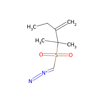 C=C(CC)C(C)(C)S(=O)(=O)C=[N+]=[N-]